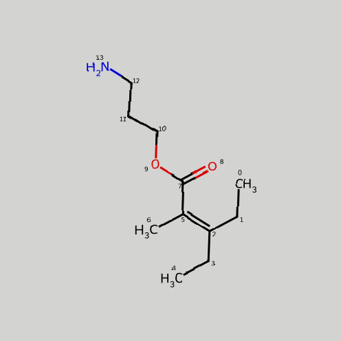 CCC(CC)=C(C)C(=O)OCCCN